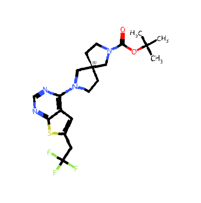 CC(C)(C)OC(=O)N1CC[C@]2(CCN(c3ncnc4sc(CC(F)(F)F)cc34)C2)C1